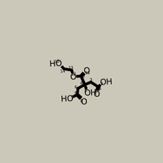 O=C(O)CC(O)(CC(=O)O)C(=O)OCCO